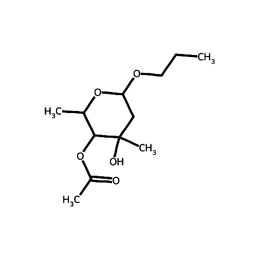 CCCOC1CC(C)(O)C(OC(C)=O)C(C)O1